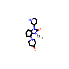 Cn1c(=O)n(C2CCCNC2)c2cccc(N3CCC(=O)CC3)c21